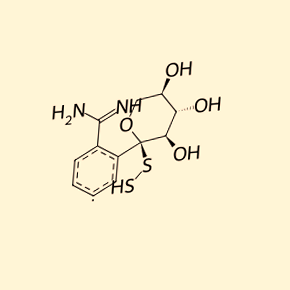 N=C(N)c1cc[c]cc1[C@]1(SS)OC[C@@H](O)[C@H](O)[C@H]1O